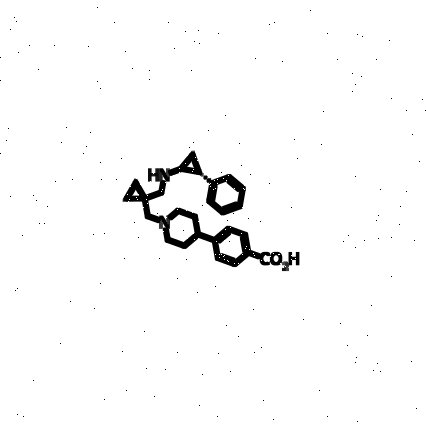 O=C(O)c1ccc(C2CCN(CC3(CNC4C[C@@H]4c4ccccc4)CC3)CC2)cc1